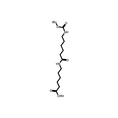 COC(=O)CCCCCNC(=O)CCCCCNC(=O)OC(C)(C)C